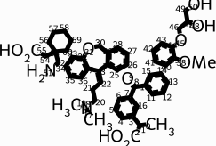 CC(C(=O)O)c1cccc(C(=O)c2ccccc2)c1.CN(C)CCC=C1c2ccccc2COc2ccccc21.COc1ccccc1OCC(O)CO.NCC1(CC(=O)O)CCCCC1